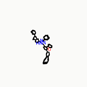 c1ccc(C2=NC(c3ccc4ccc(-c5ccccc5)cc4c3)NC(c3ccc(-c4ccc5ccccc5c4)c4oc5ccccc5c34)=N2)cc1